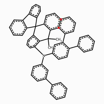 CC1(C)c2ccccc2C2(c3ccccc3-c3ccccc32)c2cccc(N(c3cccc(-c4ccccc4)c3)c3ccc(-c4ccccc4)c(-c4ccccc4)c3)c21